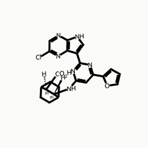 O=C(O)[C@@H]1C2CCC(CC2)[C@H]1Nc1cc(-c2ccco2)nc(-c2c[nH]c3ncc(Cl)nc23)n1